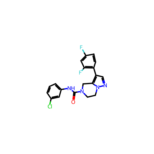 O=C(Nc1cccc(Cl)c1)N1CCn2ncc(-c3ccc(F)cc3F)c2C1